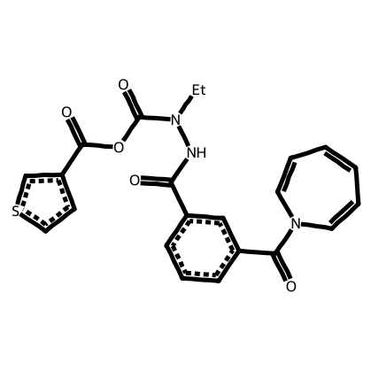 CCN(NC(=O)c1cccc(C(=O)N2C=CC=CC=C2)c1)C(=O)OC(=O)c1ccsc1